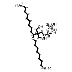 CCCCCCCCCCCCCCCCCCOC(CCCCCCCCCCCCCCCCCC)C(CO)(CO)COP(O)(=S)OP(=O)(O)O